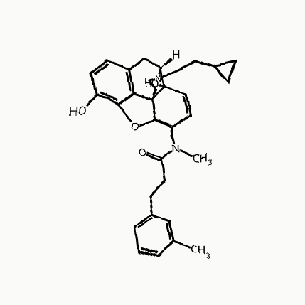 Cc1cccc(CCC(=O)N(C)C2C=C[C@@]3(O)[C@H]4Cc5ccc(O)c6c5[C@@]3(CCN4CC3CC3)C2O6)c1